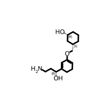 NCC[C@@H](O)C1=CC(OC[C@H]2CCC[C@@H](O)C2)=CCC1